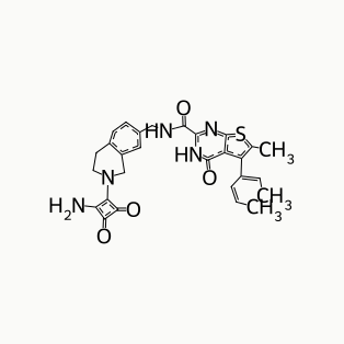 C/C=C\C(=C/C)c1c(C)sc2nc(C(=O)NCc3ccc4c(c3)CN(c3c(N)c(=O)c3=O)CC4)[nH]c(=O)c12